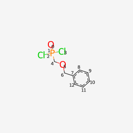 O=P(Cl)(Cl)COCc1ccccc1